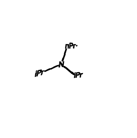 CC[CH]N(C(C)C)C(C)C